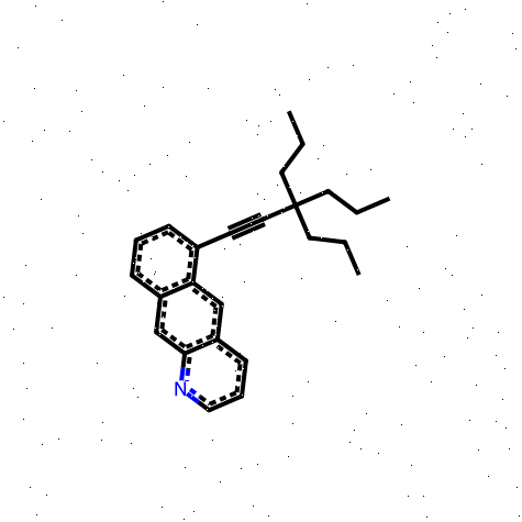 CCCC(C#Cc1cccc2cc3ncccc3cc12)(CCC)CCC